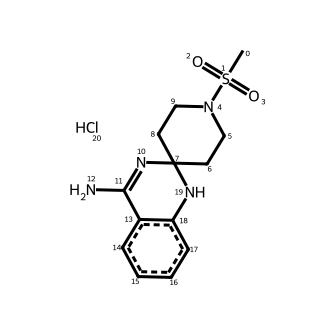 CS(=O)(=O)N1CCC2(CC1)N=C(N)c1ccccc1N2.Cl